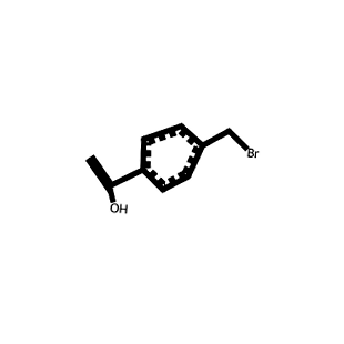 C=C(O)c1ccc(CBr)cc1